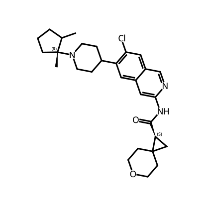 CC1CCC[C@@]1(C)N1CCC(c2cc3cc(NC(=O)[C@H]4CC45CCOCC5)ncc3cc2Cl)CC1